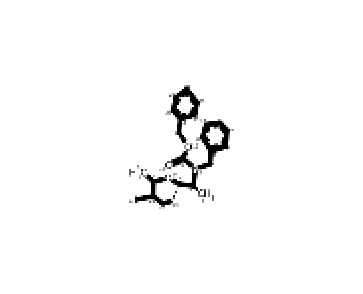 CC1O[C@H]([C@H](C)N(Cc2ccccc2)C(=O)OCc2ccccc2)CCC1I